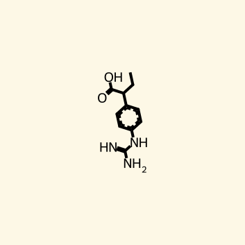 CCC(C(=O)O)c1ccc(NC(=N)N)cc1